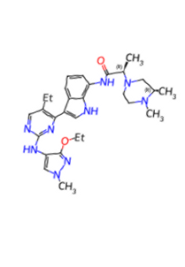 CCOc1nn(C)cc1Nc1ncc(CC)c(-c2c[nH]c3c(NC(=O)[C@@H](C)N4CCN(C)[C@H](C)C4)cccc23)n1